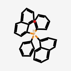 c1ccc([PH](c2ccccc2)(c2cccc3ccccc23)c2cccc3ccccc23)cc1